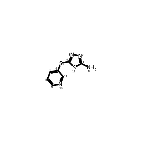 Nc1nnc(Sc2cccnc2)s1